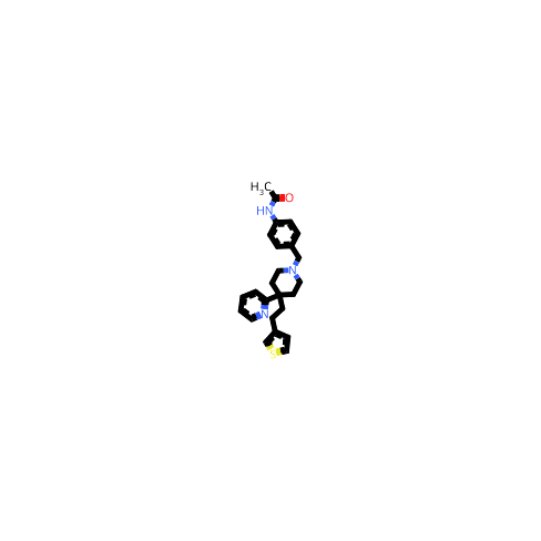 CC(=O)Nc1ccc(CN2CCC(CCc3ccsc3)(c3ccccn3)CC2)cc1